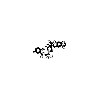 Cc1ccc(F)c(C(=O)N[C@@H](C(=O)N2CCC3(CC2)C(=O)N(C)C(=O)N3Cc2ccc3c(c2)OCCO3)C(C)C)c1